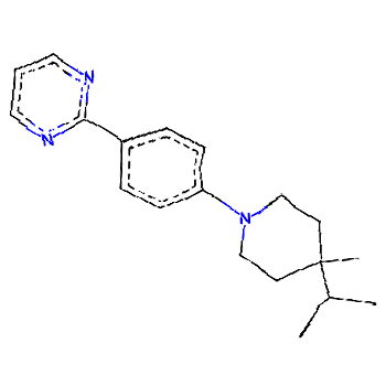 CC(C)C1(C)CCN(c2ccc(-c3ncccn3)cc2)CC1